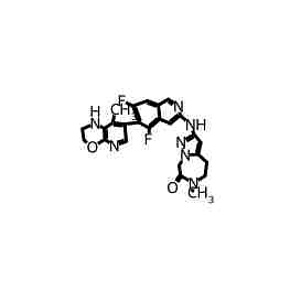 Cc1c(-c2c(F)cc3cnc(Nc4cc5n(n4)CC(=O)N(C)CC5)cc3c2F)cnc2c1NCCO2